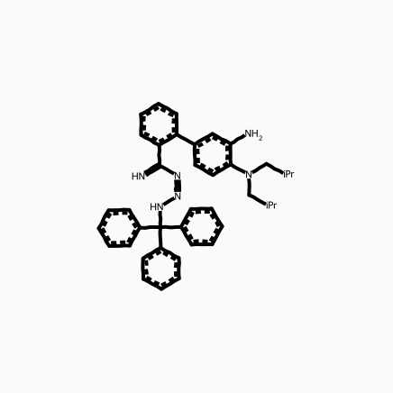 CC(C)CN(CC(C)C)c1ccc(-c2ccccc2C(=N)/N=N\NC(c2ccccc2)(c2ccccc2)c2ccccc2)cc1N